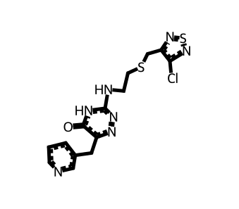 O=c1[nH]c(NCCSCc2nsnc2Cl)nnc1Cc1cccnc1